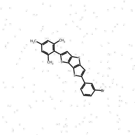 Cc1cc(C)c(-c2cc3sc4cc(-c5cccc(Br)c5)sc4c3s2)c(C)c1